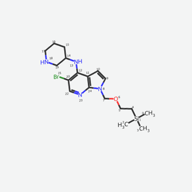 C[Si](C)(C)CCOCn1ccc2c(NC3CCCNC3)c(Br)cnc21